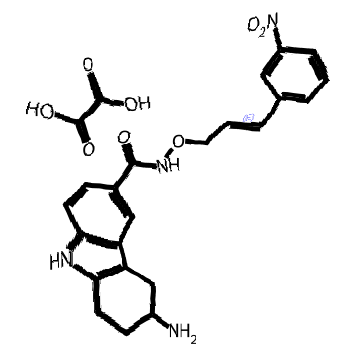 NC1CCc2[nH]c3ccc(C(=O)NOC/C=C/c4cccc([N+](=O)[O-])c4)cc3c2C1.O=C(O)C(=O)O